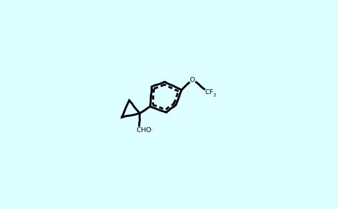 O=[C]C1(c2ccc(OC(F)(F)F)cc2)CC1